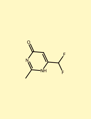 Cc1nc(=O)cc(C(F)F)[nH]1